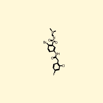 CN(C)/C=N/S(=O)(=O)c1cc(NC(=O)Cc2ccc(F)cc2Cl)ccc1Br